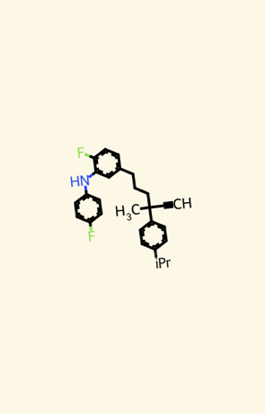 C#CC(C)(CCCc1ccc(F)c(Nc2ccc(F)cc2)c1)c1ccc(C(C)C)cc1